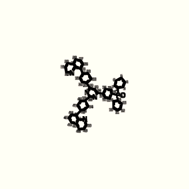 O=P(c1ccccc1)(c1ccccc1)c1ccc(-c2cc(-c3ccc(-c4cccc5cccnc45)cc3)nc(-c3ccc(-c4cccc5cccnc45)cc3)n2)cc1